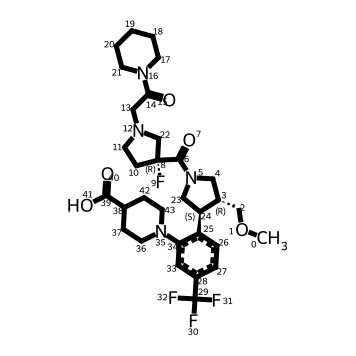 COC[C@H]1CN(C(=O)[C@@]2(F)CCN(CC(=O)N3CCCCC3)C2)C[C@@H]1c1ccc(C(F)(F)F)cc1N1CCC(C(=O)O)CC1